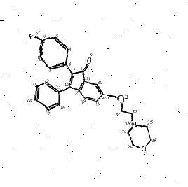 O=C1C(c2ccc(F)cc2)=C(c2ccccc2)c2ccc(OCCN3CCOCC3)cc21